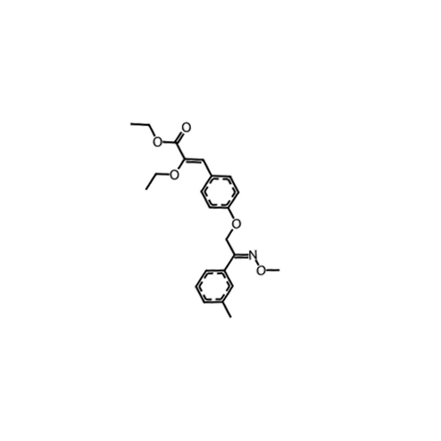 CCOC(=O)/C(=C/c1ccc(OCC(=NOC)c2cccc(C)c2)cc1)OCC